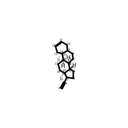 C#CC1CC[C@H]2[C@@H]3CCC4CC=CC[C@]4(C)[C@@H]3CC[C@]12C